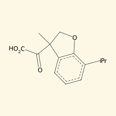 CC(C)c1cccc2c1OCC2(C)C(=O)C(=O)O